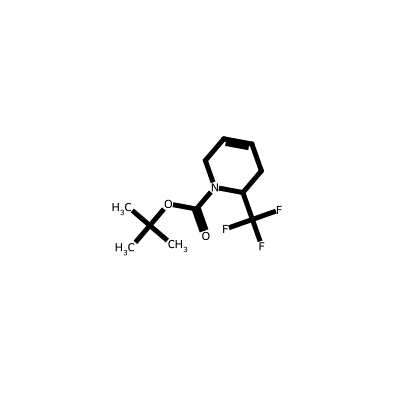 CC(C)(C)OC(=O)N1CC=CCC1C(F)(F)F